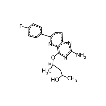 CC(O)C[C@@H](C)Oc1nc(N)nc2ccc(-c3ccc(F)cc3)nc12